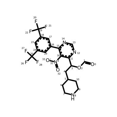 O=COC(CC1CCNCC1)c1ncnc(-c2cc(C(F)(F)F)cc(C(F)(F)F)c2)c1[N+](=O)[O-]